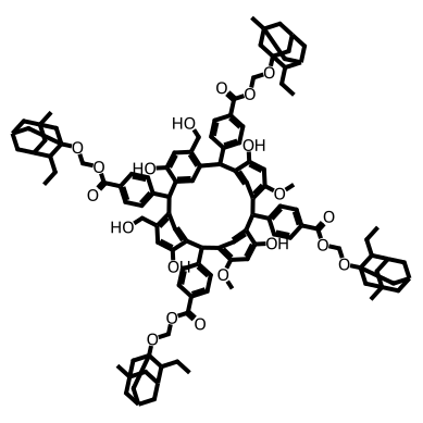 CCC1C2CC3CC(C)(C2)CC1(OCOC(=O)c1ccc(C2c4cc(c(OC)cc4O)C(c4ccc(C(=O)OCOC56CC7CC(CC(C)(C7)C5)C6CC)cc4)c4cc(c(OC)cc4O)C(c4ccc(C(=O)OCOC56CC7CC(CC(C)(C7)C5)C6CC)cc4)c4cc(c(CO)cc4O)C(c4ccc(C(=O)OCOC56CC7CC(CC(C)(C7)C5)C6CC)cc4)c4cc2c(CO)cc4O)cc1)C3